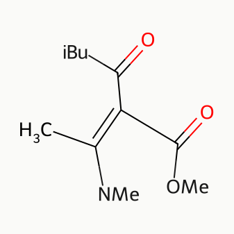 CCC(C)C(=O)C(C(=O)OC)=C(C)NC